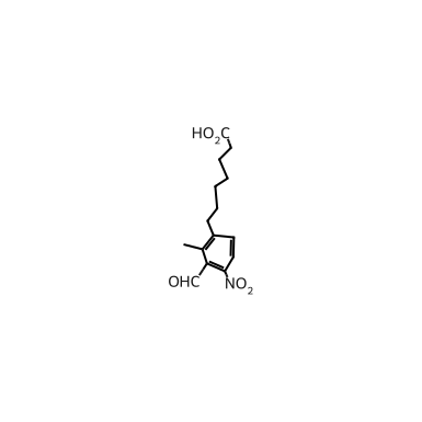 Cc1c(CCCCCCC(=O)O)ccc([N+](=O)[O-])c1C=O